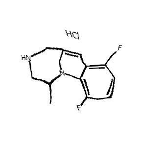 CC1CNCc2cc3c(F)ccc(F)c3n21.Cl